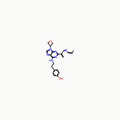 C=C(/C=N\C=C/C)c1nc(NCCc2ccc(O)cc2)c2ncn(C3COC3)c2n1